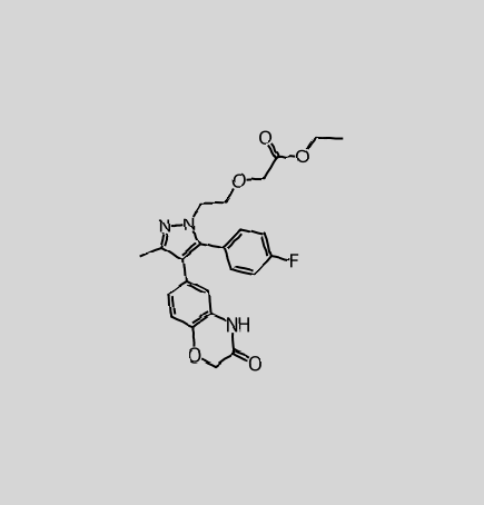 CCOC(=O)COCCn1nc(C)c(-c2ccc3c(c2)NC(=O)CO3)c1-c1ccc(F)cc1